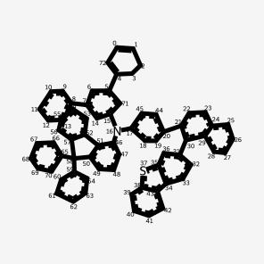 C1=CCCC(c2cc(-c3ccccc3)cc(N(c3ccc(-c4ccc5ccccc5c4-c4ccc5c(c4)sc4ccccc45)cc3)c3cccc4c3-c3ccccc3C4(c3ccccc3)c3ccccc3)c2)=C1